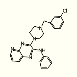 Clc1cccc(CN2CCN(c3nc4ncccc4nc3Nc3ccccc3)CC2)c1